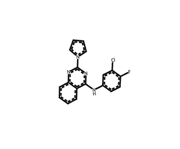 Fc1ccc(Nc2nc(-n3cccc3)nc3ccccc23)cc1Cl